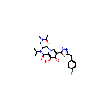 CC(=O)N(C)C[C@@H]1Cn2cc(-c3nnc(Cc4ccc(F)cc4)s3)c(=O)c(O)c2C(=O)N1C(C)C